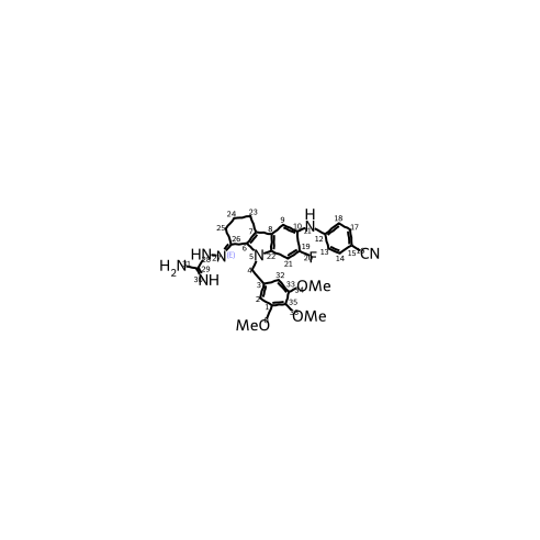 COc1cc(Cn2c3c(c4cc(Nc5ccc(C#N)cc5)c(F)cc42)CCC/C3=N\NC(=N)N)cc(OC)c1OC